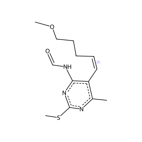 COCCC/C=C\c1c(C)nc(SC)nc1NC=O